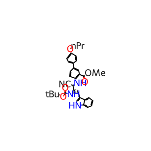 CCCOc1ccc(-c2ccc(NC(C#N)[C@H](Cc3c[nH]c4ccccc34)NC(=O)OC(C)(C)C)c(C(=O)OC)c2)cc1